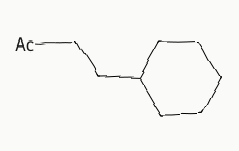 [CH2]C(=O)CCC1CCCCC1